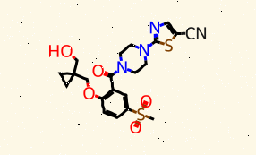 CS(=O)(=O)c1ccc(OCC2(CO)CC2)c(C(=O)N2CCN(c3ncc(C#N)s3)CC2)c1